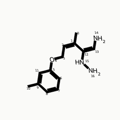 CC(=C/COc1cccc(C)c1)/C(=C\N)NN